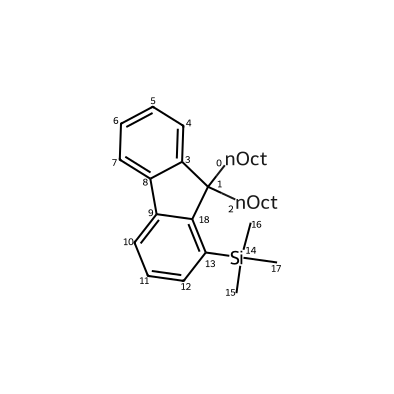 CCCCCCCCC1(CCCCCCCC)c2ccccc2-c2cccc([Si](C)(C)C)c21